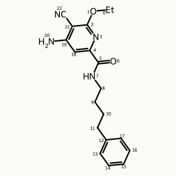 CCOc1nc(C(=O)NCCCCc2ccccc2)cc(N)c1C#N